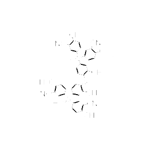 Cc1ccc(S(C)(c2ccc(Sc3ccc(S(C)(c4ccc(C)c(C#N)c4)c4ccc(C)c(C#N)c4)cc3C)c(C)c2)c2ccc(C)c(C#N)c2)cc1C#N